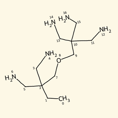 CCC(CN)(CN)COCC(CN)(CN)CN